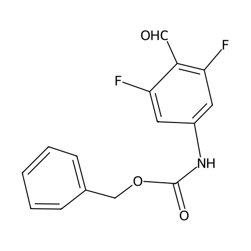 O=Cc1c(F)cc(NC(=O)OCc2ccccc2)cc1F